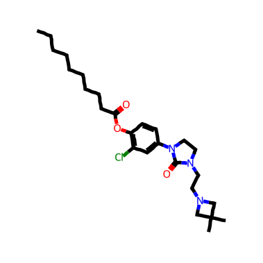 CCCCCCCCCC(=O)Oc1ccc(N2CCN(CCN3CC(C)(C)C3)C2=O)cc1Cl